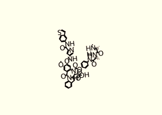 CN[C@H](C)C(=O)N[C@H](C)C(=O)Nc1ccc(OC(=O)N2c3cc(ONc4cc(C(=O)Nc5ccc6sccc6c5)n(C)c4)c(OC)cc3C(=O)N3c4ccccc4C[C@H]3C2S(=O)(=O)O)cc1